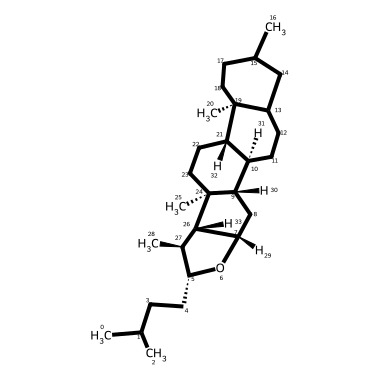 CC(C)CC[C@H]1O[C@H]2C[C@H]3[C@@H]4CCC5CC(C)CC[C@]5(C)[C@H]4CC[C@]3(C)[C@H]2[C@@H]1C